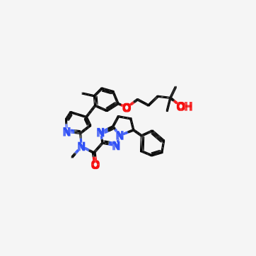 Cc1ccc(OCCCC(C)(C)O)cc1-c1ccnc(N(C)C(=O)c2nc3n(n2)C(c2ccccc2)CC3)c1